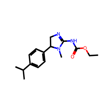 CCOC(=O)NC1=NCC(c2ccc(C(C)C)cc2)N1C